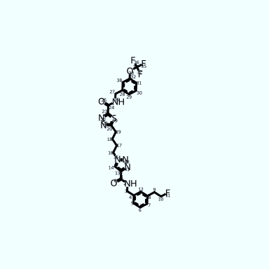 O=C(NCc1cccc(CCF)c1)c1cn(CCCCc2nnc(C(=O)NCc3cccc(OC(F)(F)F)c3)s2)nn1